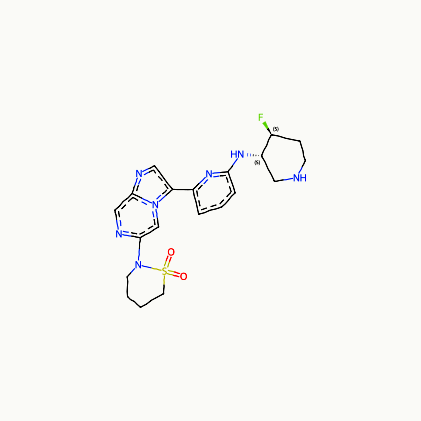 O=S1(=O)CCCCN1c1cn2c(-c3cccc(N[C@H]4CNCC[C@@H]4F)n3)cnc2cn1